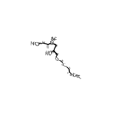 CCCCCCCCCCCCCCOCC(O)CN(CCO)C(C)=O